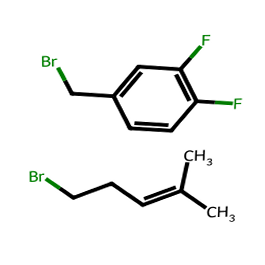 CC(C)=CCCBr.Fc1ccc(CBr)cc1F